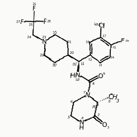 C[C@@H]1C(=O)NCCN1C(=O)N[C@H](c1ccc(F)c(Cl)c1)C1CCN(CC(F)(F)F)CC1